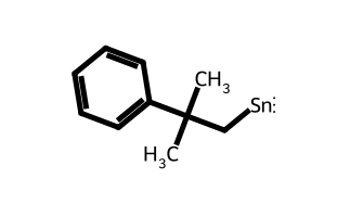 CC(C)([CH2][Sn])c1ccccc1